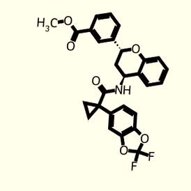 COC(=O)c1cccc([C@H]2C[C@H](NC(=O)C3(c4ccc5c(c4)OC(F)(F)O5)CC3)c3ccccc3O2)c1